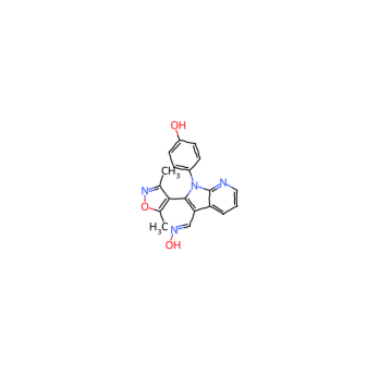 Cc1noc(C)c1-c1c(C=NO)c2cccnc2n1-c1ccc(O)cc1